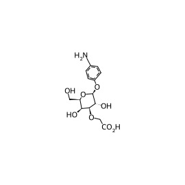 Nc1ccc(O[C@@H]2O[C@H](CO)[C@H](O)[C@H](OCC(=O)O)[C@H]2O)cc1